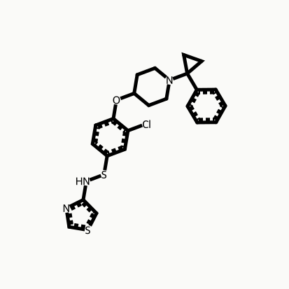 Clc1cc(SNc2cscn2)ccc1OC1CCN(C2(c3ccccc3)CC2)CC1